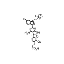 C[C@]1(c2ccc(CCC(=O)O)c(C#N)c2)C(=O)Nc2nc(-c3nn(CCC(F)(F)C(F)(F)F)c4cc(Cl)ccc34)nc(N)c21